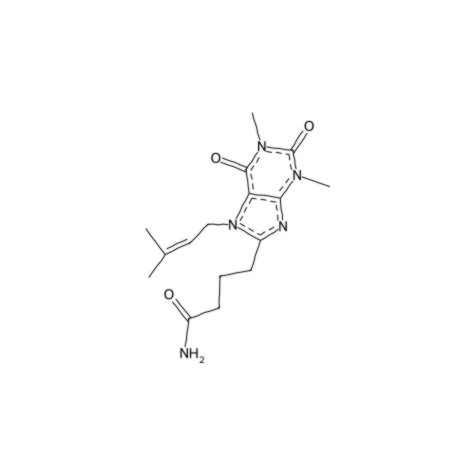 CC(C)=CCn1c(CCCC(N)=O)nc2c1c(=O)n(C)c(=O)n2C